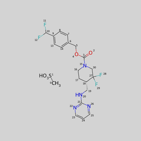 CS(=O)(=O)O.O=C(OCc1ccc(C(F)F)cc1)N1CC[C@@H](CNc2ncccn2)C(F)(F)C1